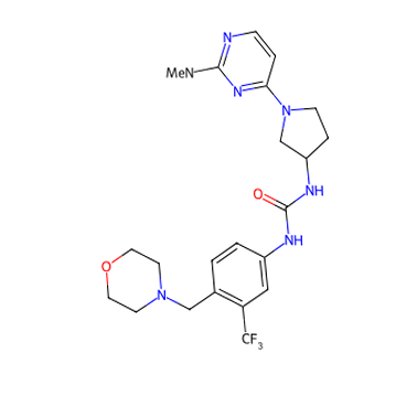 CNc1nccc(N2CCC(NC(=O)Nc3ccc(CN4CCOCC4)c(C(F)(F)F)c3)C2)n1